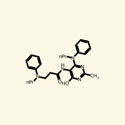 CCCN(CCC(=O)Nc1c(O)nc(C)nc1N(CCC)c1ccccc1)c1ccccc1